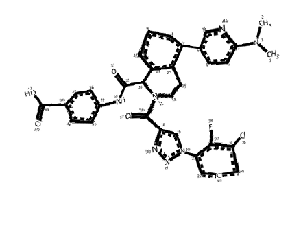 CN(C)c1ccc(-c2cccc3c2CCN(C(=O)c2cn(-c4cccc(Cl)c4F)nn2)C3C(=O)Nc2ccc(C(=O)O)cc2)cn1